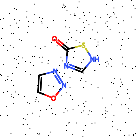 O=c1nc[nH]s1.c1conn1